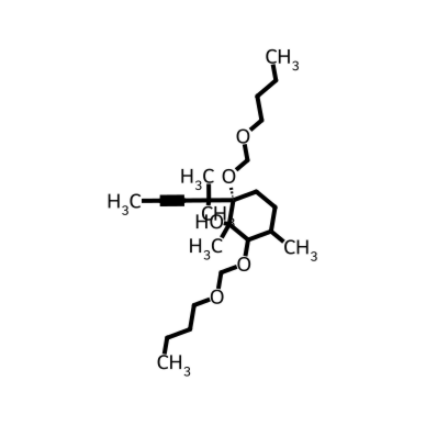 CC#CC(C)(C)[C@@]1(OCOCCCC)CCC(C)C(OCOCCCC)C1(C)O